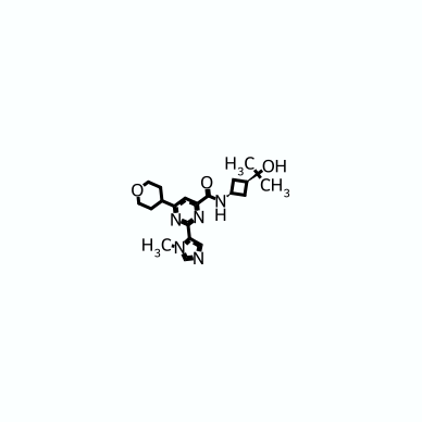 Cn1cncc1-c1nc(C(=O)N[C@H]2C[C@H](C(C)(C)O)C2)cc(C2CCOCC2)n1